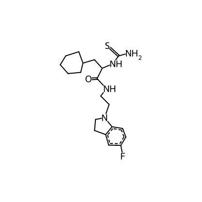 NC(=S)NC(CC1CCCCC1)C(=O)NCCN1CCc2cc(F)ccc21